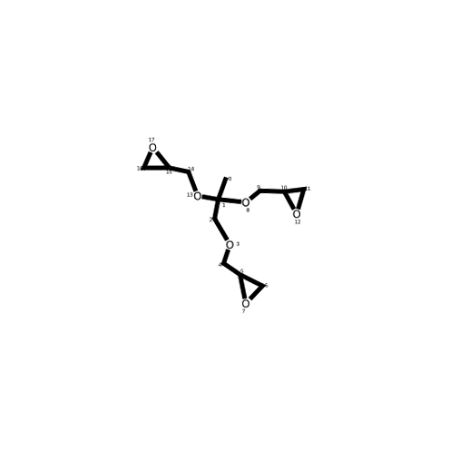 CC(COCC1CO1)(OCC1CO1)OCC1CO1